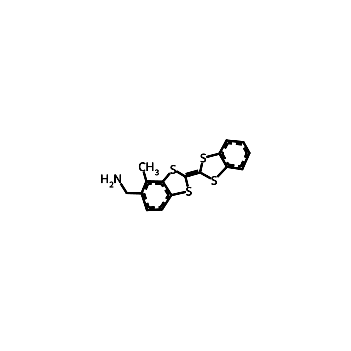 Cc1c(CN)ccc2c1SC(=C1Sc3ccccc3S1)S2